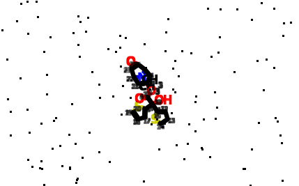 C[N+]1(C)C2CC(OC(=O)C(O)(C3=CCCS3)c3cccs3)CC1C1OC12